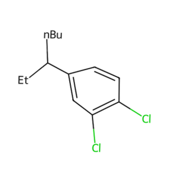 CCCCC(CC)c1ccc(Cl)c(Cl)c1